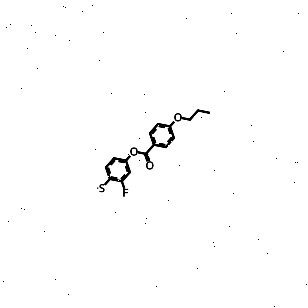 CCCOc1ccc(C(=O)Oc2ccc([S])c(F)c2)cc1